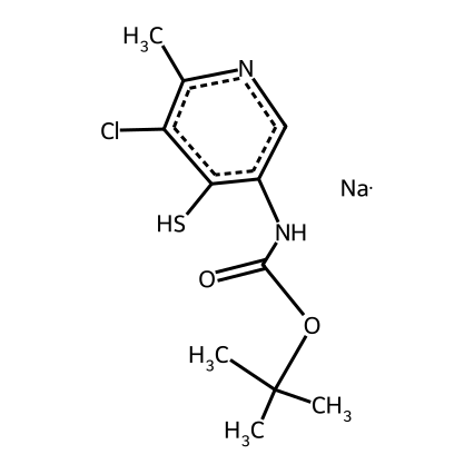 Cc1ncc(NC(=O)OC(C)(C)C)c(S)c1Cl.[Na]